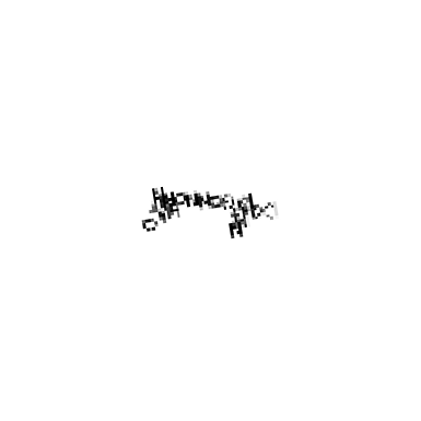 CC(NC(C)C(C)n1ncn(-c2ccc(N3CCN(c4ccc(OCC5COC(Cn6cncn6)(c6ccc(Cl)cc6Cl)O5)cc4)CC3)cc2)c1=O)c1ccccc1